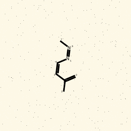 C=C(C)/C=C\N=N/C